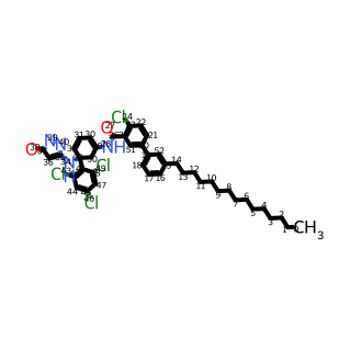 CCCCCCCCCCCCCCCc1cccc(-c2ccc(Cl)c(C(=O)NC3=CC=CC(NC4=CC(=O)N=N4)(c4c(Cl)cc(Cl)cc4Cl)C3)c2)c1